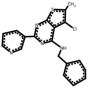 Cc1sc2nc(-c3cccnc3)nc(NCc3ccccc3)c2c1Cl